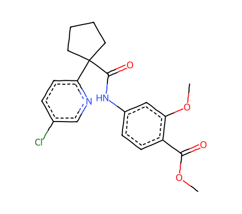 COC(=O)c1ccc(NC(=O)C2(c3ccc(Cl)cn3)CCCC2)cc1OC